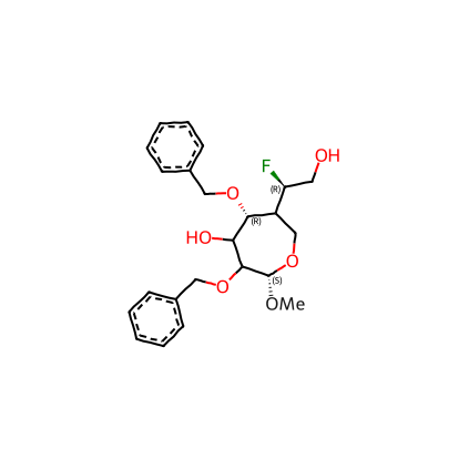 CO[C@H]1OCC([C@@H](F)CO)[C@@H](OCc2ccccc2)C(O)C1OCc1ccccc1